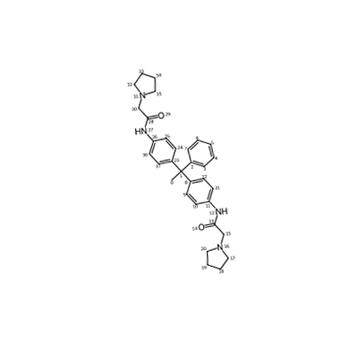 CC(c1ccccc1)(c1ccc(NC(=O)CN2CCCC2)cc1)c1ccc(NC(=O)CN2CCCC2)cc1